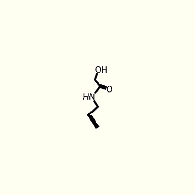 C=CCNC(=O)CO